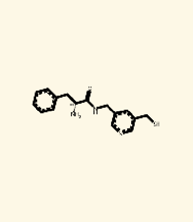 N[C@H](Cc1ccccc1)C(=O)NCc1cncc(CS)c1